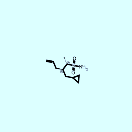 C=CC[C@H](CC1CC1)[C@H](C)S(N)(=O)=O